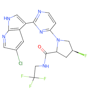 O=C(NCC(F)(F)F)C1C[C@H](F)CN1c1ccnc(-c2c[nH]c3ncc(Cl)cc23)n1